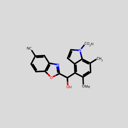 COc1cc(C)c2c(ccn2C(=O)O)c1C(O)c1nc2cc(C#N)ccc2o1